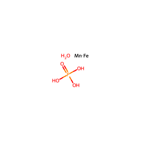 O.O=P(O)(O)O.[Fe].[Mn]